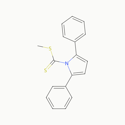 CSC(=S)n1c(-c2ccccc2)ccc1-c1ccccc1